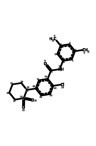 Cc1cc(C)cc(NC(=O)c2cc(N3CCCCS3(=O)=O)ccc2Cl)c1